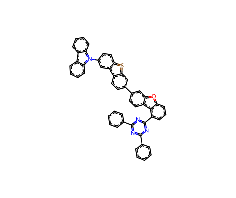 c1ccc(-c2nc(-c3ccccc3)nc(-c3cccc4oc5cc(-c6ccc7c(c6)sc6ccc(-n8c9ccccc9c9ccccc98)cc67)ccc5c34)n2)cc1